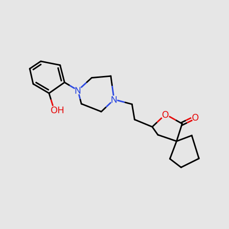 O=C1OC(CCN2CCN(c3ccccc3O)CC2)CC12CCCC2